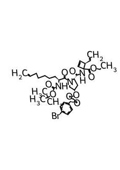 C=CCCCCC[C@H](NC(=O)OC(C)(C)C)C(=O)N1C[C@@H](OS(=O)(=O)c2ccc(Br)cc2)C[C@H]1C(=O)N[C@]1(C(=O)OCC)C=C[C@H]1C=C